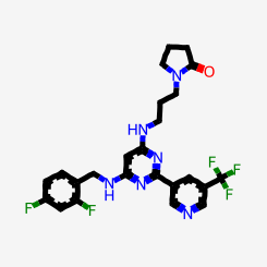 O=C1CCCN1CCCNc1cc(NCc2ccc(F)cc2F)nc(-c2cncc(C(F)(F)F)c2)n1